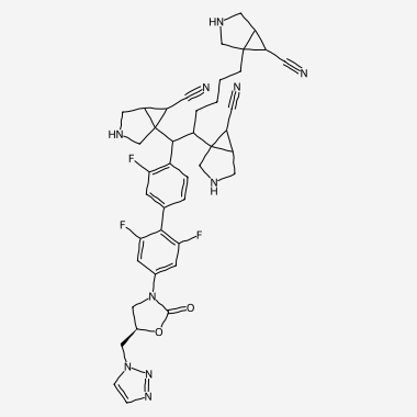 N#CC1C2CNCC12CCCCC(C(c1ccc(-c2c(F)cc(N3C[C@H](Cn4ccnn4)OC3=O)cc2F)cc1F)C12CNCC1C2C#N)C12CNCC1C2C#N